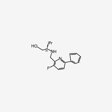 CC(C)[C@H](CO)NCc1nc(-c2c[c]ccc2)ccc1F